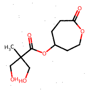 CC(CO)(CO)C(=O)OC1CCOC(=O)CC1